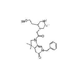 COCCC1CN[C@H](C)CN1CC(=O)N1CC(C)(C)c2cc(=O)n(Cc3ccccc3)cc21